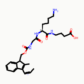 C/C=C\C1=C(C)C(COC(=O)NCC(=O)N[C@@H](CCCCN)C(=O)NCCCC(=O)O)c2ccccc21